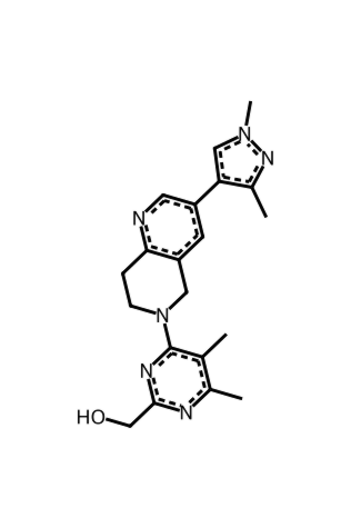 Cc1nn(C)cc1-c1cnc2c(c1)CN(c1nc(CO)nc(C)c1C)CC2